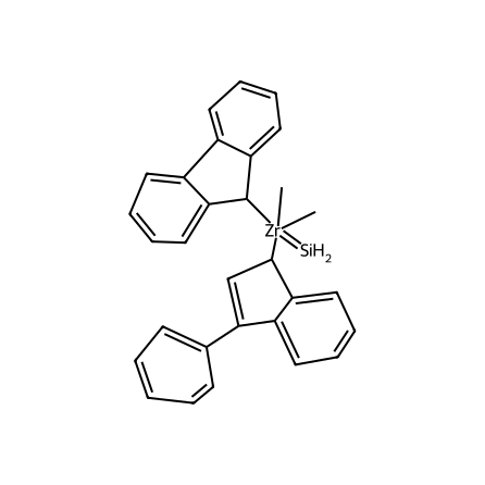 [CH3][Zr]([CH3])(=[SiH2])([CH]1C=C(c2ccccc2)c2ccccc21)[CH]1c2ccccc2-c2ccccc21